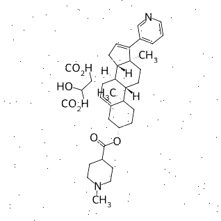 CN1CCC(C(=O)O[C@H]2CC[C@@]3(C)C(=CC[C@@H]4[C@@H]3CC[C@]3(C)C(c5cccnc5)=CC[C@@H]43)C2)CC1.O=C(O)CC(O)C(=O)O